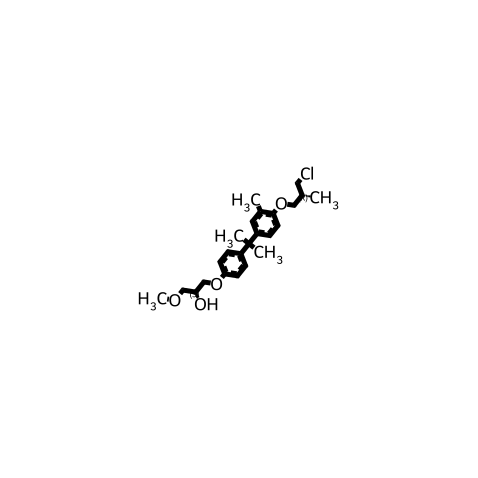 COC[C@H](O)COc1ccc(C(C)(C)c2ccc(OC[C@@H](C)CCl)c(C)c2)cc1